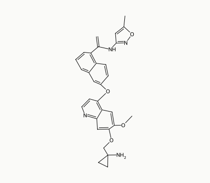 C=C(Nc1cc(C)on1)c1cccc2cc(Oc3ccnc4cc(OCC5(N)CC5)c(OC)cc34)ccc12